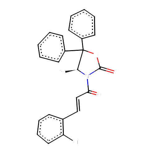 CC(C)[C@@H]1N(C(=O)/C=C/c2ccccc2C(F)(F)F)C(=O)OC1(c1ccccc1)c1ccccc1